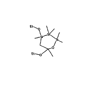 CCOC1(C)C[Si](C)(OCC)[Si](C)(C)[Si](C)(C)O1